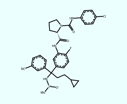 CC(C)(C)[S+]([O-])NC(CCC1CC1)(c1cccc(C#N)c1)c1ccc(F)c(NC(=O)[C@@H]2CCCN2C(=O)Nc2ccc(Cl)cc2)c1